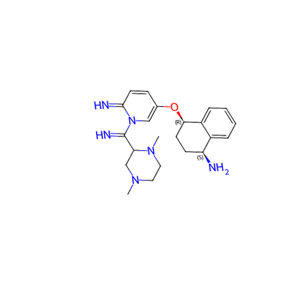 CN1CCN(C)C(C(=N)n2cc(O[C@@H]3CC[C@H](N)c4ccccc43)ccc2=N)C1